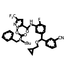 CC(C)(C)N(Cc1ccccc1)C(=O)On1nc(C(F)(F)F)cc1C(=O)Nc1cc(C(OCC2CC2)c2cccc(C#N)c2)ccc1F